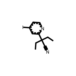 CCC(C#N)(CC)c1cc(I)ccn1